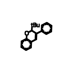 CC(C)(C)C1Oc2ccccc2C=C1c1ccccc1